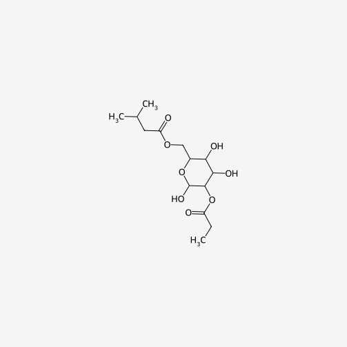 CCC(=O)OC1C(O)OC(COC(=O)CC(C)C)C(O)C1O